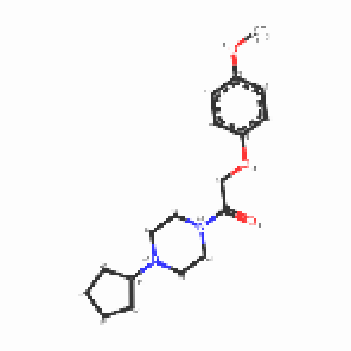 O=C(COc1ccc(OC(F)(F)F)cc1)N1CCN(C2CCCC2)CC1